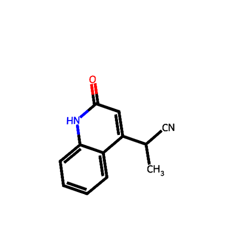 CC(C#N)c1cc(=O)[nH]c2ccccc12